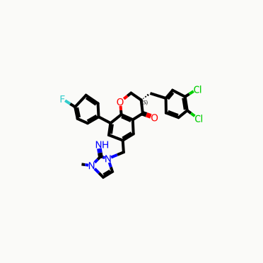 Cn1ccn(Cc2cc3c(c(-c4ccc(F)cc4)c2)OC[C@H](Cc2ccc(Cl)c(Cl)c2)C3=O)c1=N